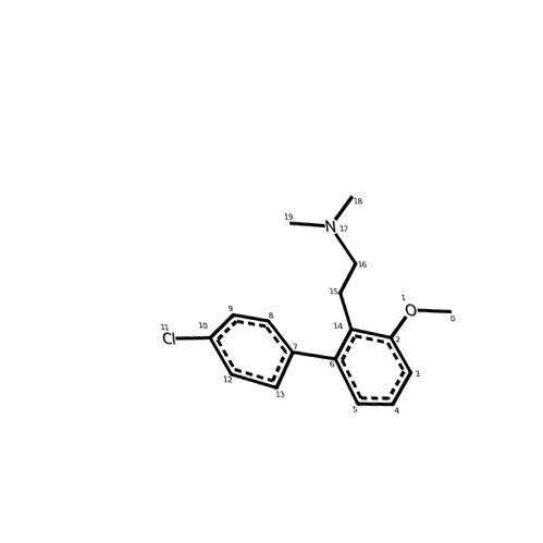 COc1cccc(-c2ccc(Cl)cc2)c1CCN(C)C